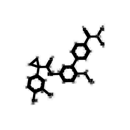 CCN(CC)C(=O)c1ccc(-c2cc(NC(=O)C3(c4ccc(O)c(O)c4)CC3)ccc2OC(F)(F)F)cc1